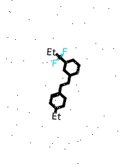 CCC1CC=C(CCC2CCCC(C(F)(F)CC)C2)CC1